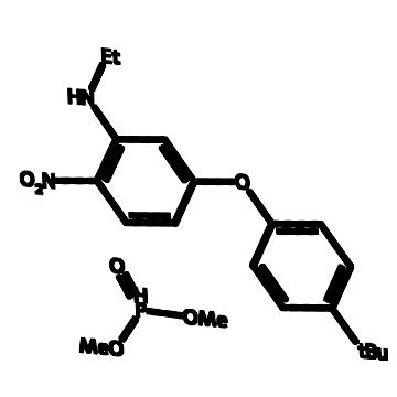 CCNc1cc(Oc2ccc(C(C)(C)C)cc2)ccc1[N+](=O)[O-].CO[PH](=O)OC